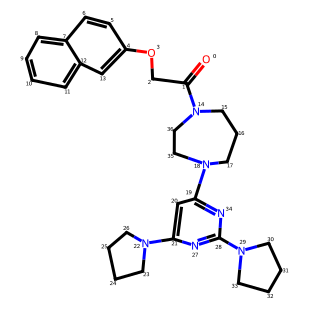 O=C(COc1ccc2ccccc2c1)N1CCCN(c2cc(N3CCCC3)nc(N3CCCC3)n2)CC1